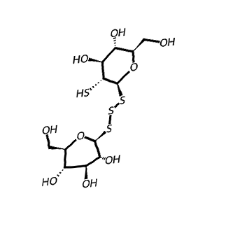 OC[C@H]1O[C@@H](SSS[C@@H]2O[C@H](CO)[C@@H](O)[C@H](O)[C@H]2S)[C@H](O)[C@@H](O)[C@@H]1O